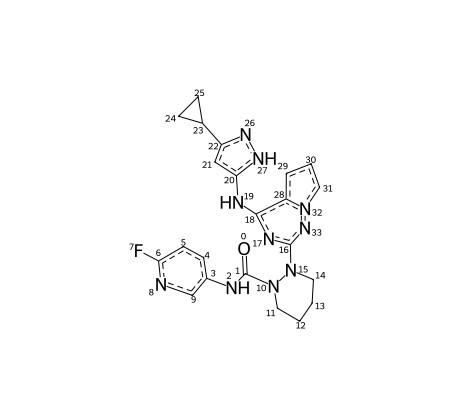 O=C(Nc1ccc(F)nc1)N1CCCCN1c1nc(Nc2cc(C3CC3)n[nH]2)c2cccn2n1